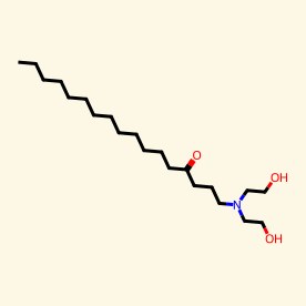 CCCCCCCCCCCCCC(=O)CCCN(CCO)CCO